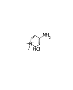 C[N+]1(C)C=CC(N)=CC1.Cl